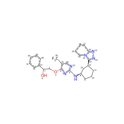 OC(COc1nc(N[C@@H]2CCC[C@H](c3nnc4ccccn34)C2)ncc1C(F)(F)F)c1ccccc1